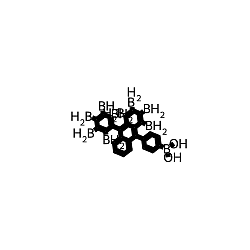 Bc1c(B)c(B)c(-c2c3ccccc3c(-c3ccc(B(O)O)cc3)c3c(B)c(B)c(B)c(B)c23)c(B)c1B